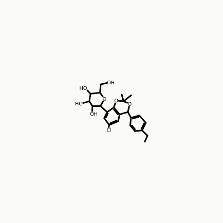 CCc1ccc(C2OC(C)(C)Oc3c2cc(Cl)cc3C2OC(CO)C(O)C(O)C2O)cc1